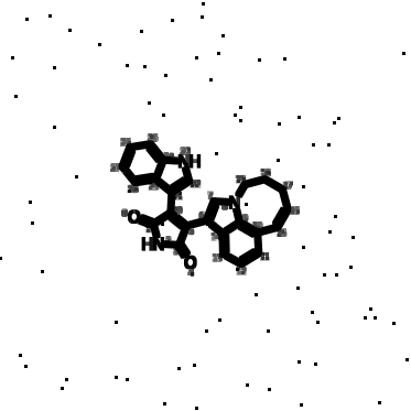 O=C1NC(=O)C(c2cn3c4c(cccc24)C=CCCC3)=C1c1c[nH]c2ccccc12